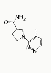 Cc1ccnnc1N1CCC(C(N)=O)C1